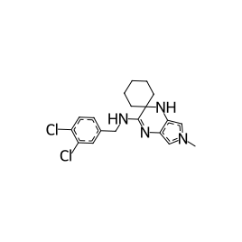 Cn1cc2c(c1)NC1(CCCCC1)C(NCc1ccc(Cl)c(Cl)c1)=N2